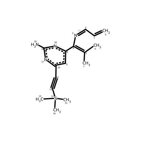 C=C/C=N\C(=C(C)C)c1cc(C#C[Si](C)(C)C)nc(N)n1